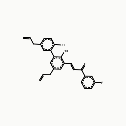 C=CCc1ccc(O)c(-c2cc(CC=C)cc(C=CC(=O)c3cccc(F)c3)c2O)c1